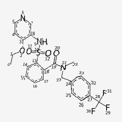 CCOc1ccncc1NS(=O)(=O)c1ccccc1C(=O)N(C)Cc1ccc(C(F)(F)F)cc1